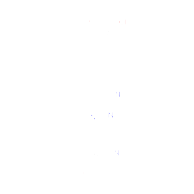 CCC(C)[C@@H](C(=O)N1CCCCC1)n1cc(CCC(=O)O)nn1